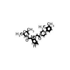 Cc1cccc(N2CCN(C(=O)Cn3nc(C(=O)N4C[C@@H](C)O[C@@H](C)C4)c4c3C3C[C@@H]3C4)CC2)c1C